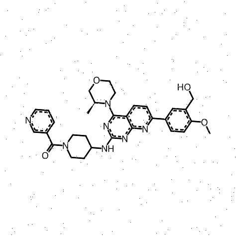 COc1ccc(-c2ccc3c(N4CCOC[C@@H]4C)nc(NC4CCN(C(=O)c5cccnc5)CC4)nc3n2)cc1CO